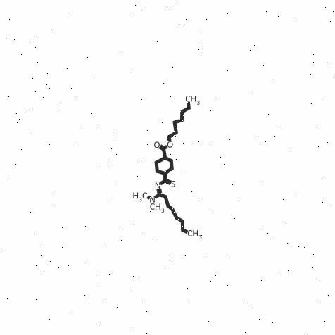 CCCCCCCOC(=O)C1CCC(C(=S)/N=C(\CCCCCCC)N(C)C)CC1